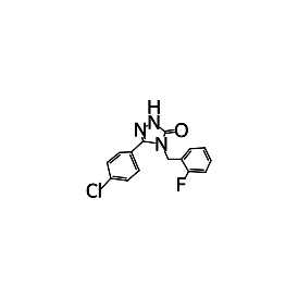 O=c1[nH]nc(-c2ccc(Cl)cc2)n1Cc1ccccc1F